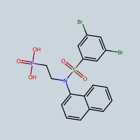 O=P(O)(O)CCN(c1cccc2ccccc12)S(=O)(=O)c1cc(Br)cc(Br)c1